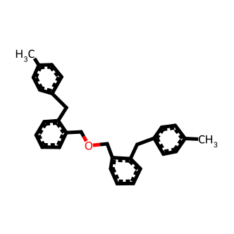 Cc1ccc(Cc2ccccc2COCc2ccccc2Cc2ccc(C)cc2)cc1